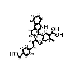 C=C1CC=C(C2c3[nH]c4ccccc4c3CCN2C(=O)/C=C/c2ccc(CO)cc2)C=C1C(O)O